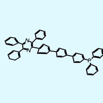 C1=CC(c2nc(-c3ccc(-c4ccc(-c5ccc(P(c6ccccc6)c6ccccc6)cc5)cc4)cc3)c(-c3ccccc3)nc2-c2ccccc2)=CCC1